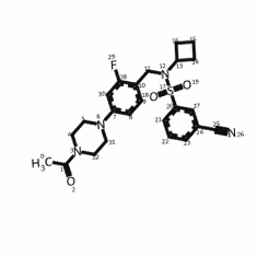 CC(=O)N1CCN(c2ccc(CN(C3CCC3)S(=O)(=O)c3cccc(C#N)c3)c(F)c2)CC1